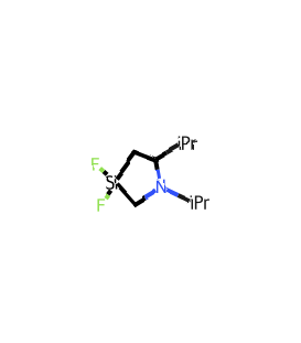 CC(C)C1C[Si](F)(F)CN1C(C)C